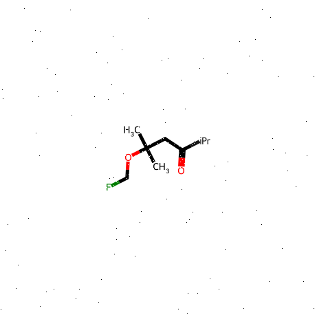 CC(C)C(=O)CC(C)(C)OCF